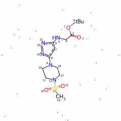 CC(C)(C)OC(=O)CNc1cc(N2CCN(S(C)(=O)=O)CC2)ncn1